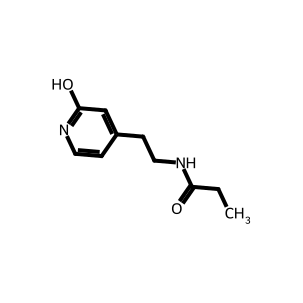 CCC(=O)NCCc1ccnc(O)c1